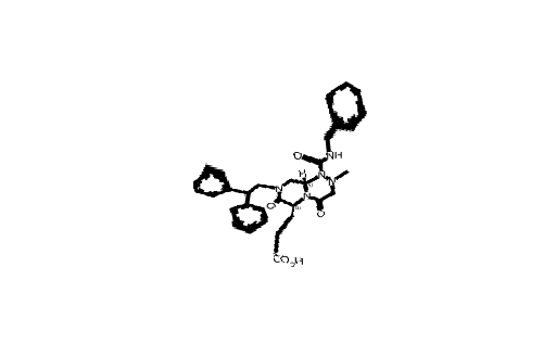 CN1CC(=O)N2[C@@H](CCC(=O)O)C(=O)N(CC(c3ccccc3)c3ccccc3)C[C@@H]2N1C(=O)NCc1ccccc1